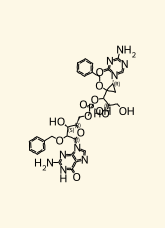 Nc1ncn([C@@H]2CC2(OCc2ccccc2)C(OP(=O)(O)OC[C@H]2O[C@@H](n3cnc4c(=O)[nH]c(N)nc43)C(OCc3ccccc3)[C@H]2O)[C@H](O)CO)c(=O)n1